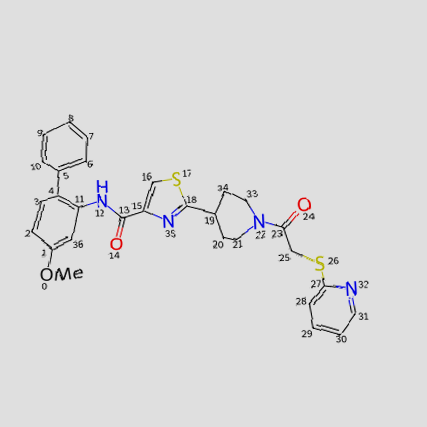 COc1ccc(-c2ccccc2)c(NC(=O)c2csc(C3CCN(C(=O)CSc4ccccn4)CC3)n2)c1